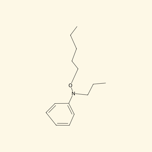 CCCCCON(CCC)c1ccccc1